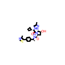 Cc1cn([C@H](C(=O)N2C[C@H](O)C[C@H]2C(=O)N[C@@H](C)c2ccc(-c3scnc3C)cc2)C2CCC2)nn1